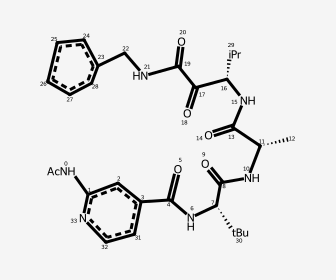 CC(=O)Nc1cc(C(=O)N[C@H](C(=O)N[C@@H](C)C(=O)N[C@H](C(=O)C(=O)NCc2ccccc2)C(C)C)C(C)(C)C)ccn1